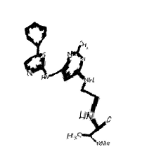 CN[C@@H](C)C(=O)NCCNc1cc(Nc2ncc(-c3ccccc3)s2)nc(C)n1